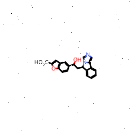 O=C(O)c1cc2cc(C(O)CC3c4ccccc4-c4cncn43)ccc2o1